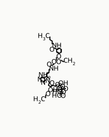 C=CCOCOC1=C(COP(=O)(O)OP(=O)(O)OP(=O)(O)O)O[C@@H](n2cc(/C=C/CNC(=O)COC(COc3cccc(C(=O)NCCCCC)c3)OCC=C)c3c(N)ncnc32)C1